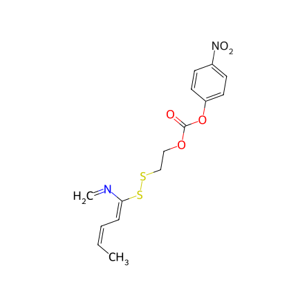 C=N/C(=C\C=C/C)SSCCOC(=O)Oc1ccc([N+](=O)[O-])cc1